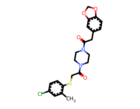 Cc1cc(Cl)ccc1SCC(=O)N1CCN(C(=O)Cc2ccc3c(c2)OCO3)CC1